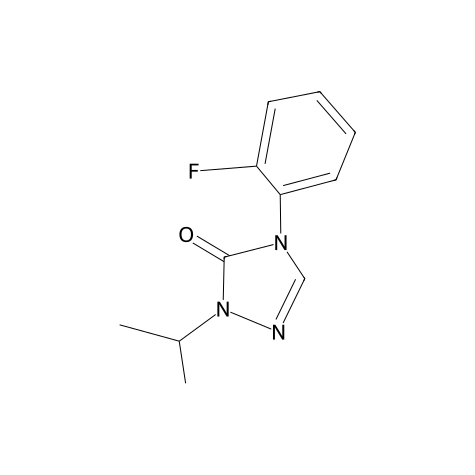 CC(C)n1ncn(-c2ccccc2F)c1=O